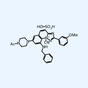 COc1cccc(C2=N[N+]3(C#N)C(=N2)C=Cc2cc(N4CCN(C(C)=O)CC4)cc(NCc4ccccc4)c23)c1.O=S(=O)(O)O